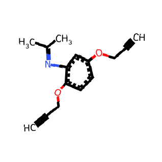 C#CCOc1ccc(OCC#C)c(N=C(C)C)c1